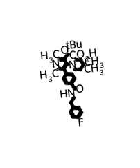 Cc1nc(C)c(C(OC(C)(C)C)C(=O)O)c(N2CCC(C)(C)CC2)c1-c1ccc(C(=O)NCCc2ccc(F)cc2)cc1